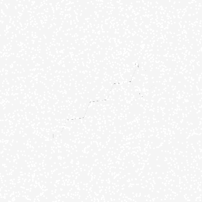 CCCCCCCCCCCC(N)[N+](C)(C)[O-]